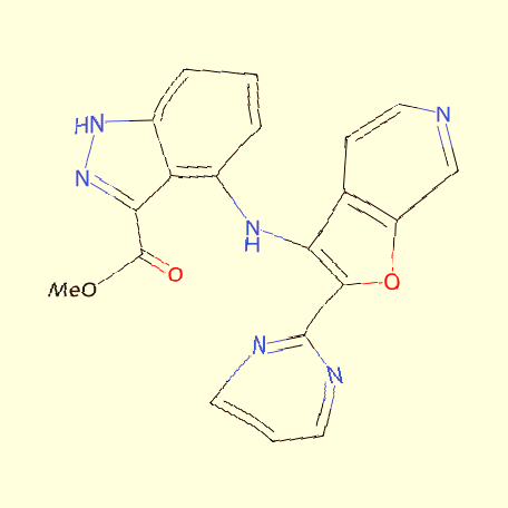 COC(=O)c1n[nH]c2cccc(Nc3c(-c4ncccn4)oc4cnccc34)c12